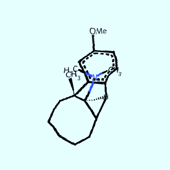 COc1ccc2c(c1)[C@@]1(C)CCCCCC(C2)[C@@H]1N(C)C